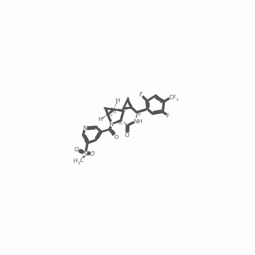 CS(=O)(=O)c1cncc(C(=O)N2[C@@H](C(=O)N[C@@H](c3cc(F)c(C(F)(F)F)cc3F)C3CC3)C[C@@H]3C[C@@H]32)c1